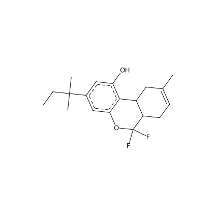 CCC(C)(C)c1cc(O)c2c(c1)OC(F)(F)C1CC=C(C)CC21